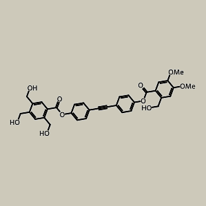 COc1cc(CO)c(C(=O)Oc2ccc(C#Cc3ccc(OC(=O)c4cc(CO)c(CO)cc4CO)cc3)cc2)cc1OC